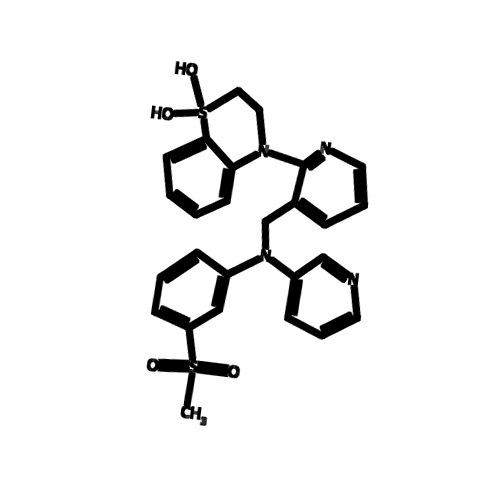 CS(=O)(=O)c1cccc(N(Cc2cccnc2N2CCS(O)(O)c3ccccc32)c2cccnc2)c1